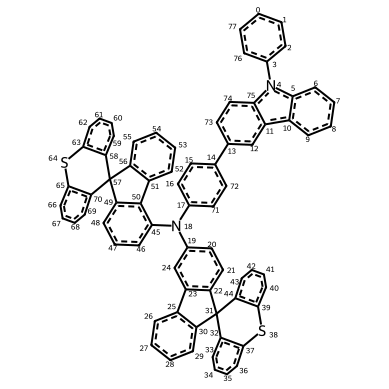 c1ccc(-n2c3ccccc3c3cc(-c4ccc(N(c5ccc6c(c5)-c5ccccc5C65c6ccccc6Sc6ccccc65)c5cccc6c5-c5ccccc5C65c6ccccc6Sc6ccccc65)cc4)ccc32)cc1